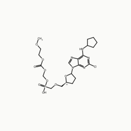 COCCOC(=O)OCOP(=O)(O)COC[C@@H]1CCC(n2cnc3c(NC4CCCC4)nc(Cl)nc32)O1